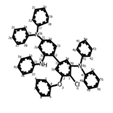 Clc1c(Oc2ccccc2)cc(-c2ccc(N(c3ccccc3)c3ccccc3)cc2Nc2ccccc2)cc1N(c1ccccc1)c1ccccc1